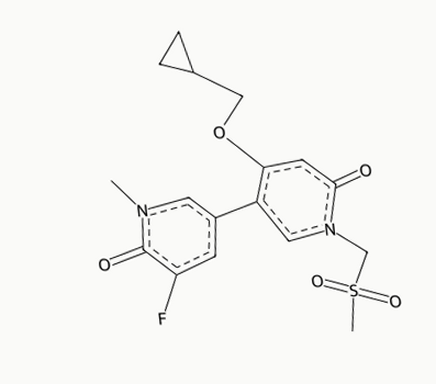 Cn1cc(-c2cn(CS(C)(=O)=O)c(=O)cc2OCC2CC2)cc(F)c1=O